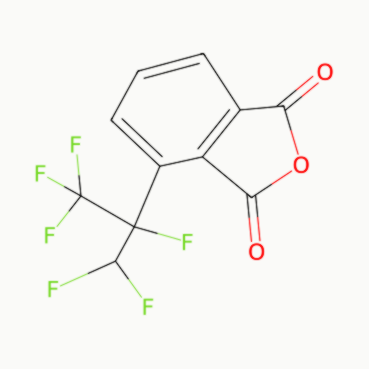 O=C1OC(=O)c2c1cccc2C(F)(C(F)F)C(F)(F)F